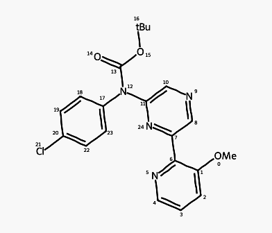 COc1cccnc1-c1cncc(N(C(=O)OC(C)(C)C)c2ccc(Cl)cc2)n1